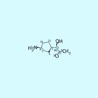 CC(=O)[C@H](O)[C@H]1CC[C@@H](N)CC1